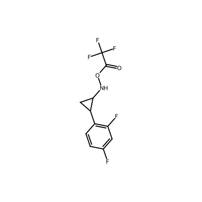 O=C(ONC1CC1c1ccc(F)cc1F)C(F)(F)F